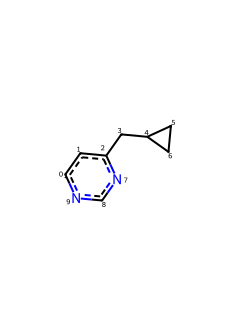 [c]1cc(CC2CC2)ncn1